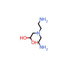 NCCN(CCN)CC(O)O